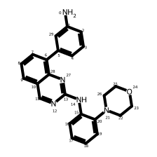 Nc1cccc(-c2cccc3cnc(Nc4ccccc4N4CCOCC4)nc23)c1